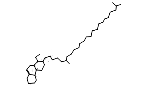 CC(C)CCCCCCCCCCCCCCCCC(C)CCC[C@@H](C)[C@H]1CC[C@H]2[C@@H]3CC=C4C[C@@H](O)CC[C@]4(C)[C@H]3CC[C@]12C